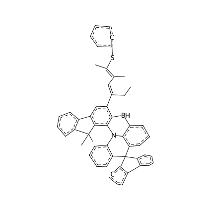 CC/C(=C\C(C)=C(/C)Sc1ccccc1)c1cc2c(c3c1Bc1cccc4c1N3c1ccccc1C41c3ccccc3-c3ccccc31)C(C)(C)c1ccccc1-2